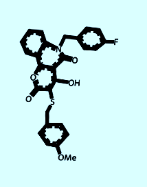 COc1ccc(CSc2c(O)c3c(=O)n(Cc4ccc(F)cc4)c4ccccc4c3oc2=O)cc1